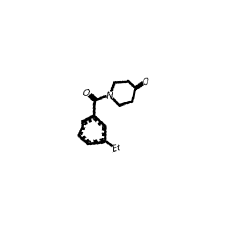 CCc1cccc(C(=O)N2CCC(=O)CC2)c1